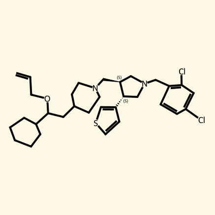 C=CCOC(CC1CCN(C[C@H]2CN(Cc3ccc(Cl)cc3Cl)C[C@@H]2c2ccsc2)CC1)C1CCCCC1